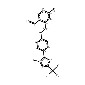 Cn1cc(C(F)(F)F)nc1-c1ccc(CNc2nc(Cl)ncc2C=O)cc1